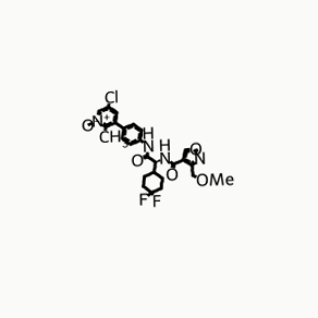 COCc1nocc1C(=O)N[C@H](C(=O)Nc1ccc(-c2cc(Cl)c[n+]([O-])c2C)cc1)C1CCC(F)(F)CC1